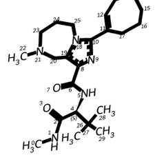 CNC(=O)[C@@H](NC(=O)c1nc(C2=CCCCCC2)n2c1CN(C)CCC2)C(C)(C)C